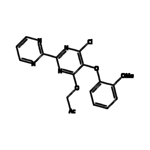 COc1ccccc1Oc1c(Cl)nc(-c2ncccn2)nc1OCC(C)=O